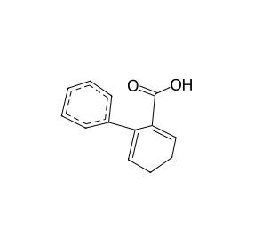 O=C(O)C1=CCCC=C1c1ccccc1